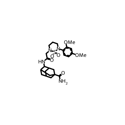 COc1ccc(N2CCCN(CC(=O)NC3C4CC5CC3CC(C(N)=O)(C5)C4)S2(=O)=O)c(OC)c1